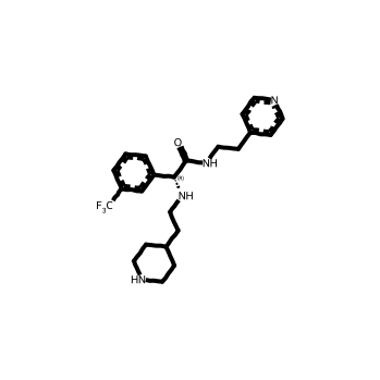 O=C(NCCc1ccncc1)[C@H](NCCC1CCNCC1)c1cccc(C(F)(F)F)c1